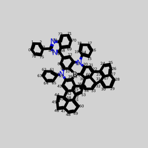 c1ccc(-c2nc(-c3cc4c5c(c3)N(c3ccccc3)c3cc6c7cccc8cccc(c9cccc(c3B5c3c(cc5c%10cccc%11cccc(c%12cccc3c%125)c%11%10)N4c3ccccc3)c96)c87)c3ccccc3n2)cc1